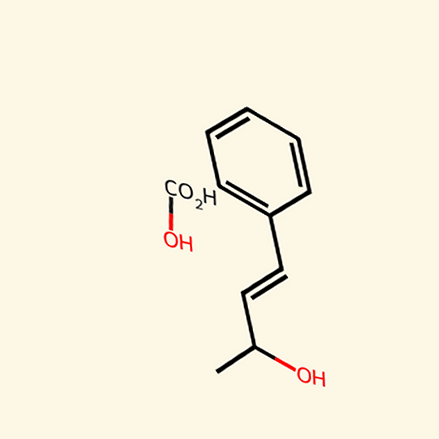 CC(O)C=Cc1ccccc1.O=C(O)O